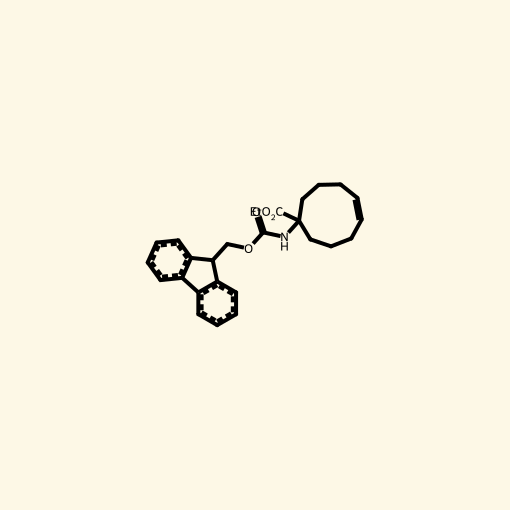 CCOC(=O)C1(NC(=O)OCC2c3ccccc3-c3ccccc32)CCCC=CCCC1